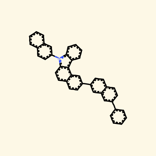 c1ccc(-c2ccc3ccc(-c4ccc5ccc6c(c5c4)c4ccccc4n6-c4ccc5ccccc5c4)cc3c2)cc1